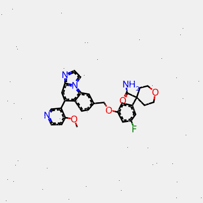 COc1ccncc1-c1cc2nccn2c2cc(COc3cc(F)cc(C4(C(N)=O)CCOCC4)c3)ccc12